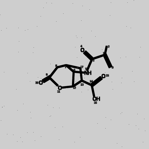 C=C(C)C(=O)NC1C2CC(=O)OC1C(C(=O)O)C2